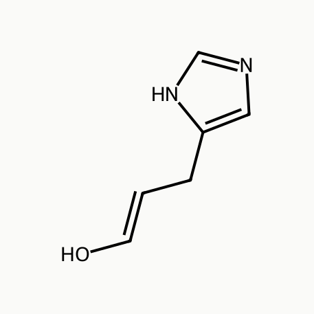 OC=CCc1cnc[nH]1